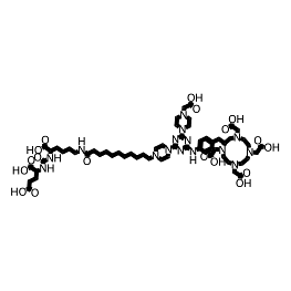 O=C(O)CCC(NC(=O)NC(CCCCNC(=O)CCCCCCCCCCN1CCN(c2nc(Nc3ccc(CC4CN(CC(=O)O)CCN(CC(=O)O)CCN(CC(=O)O)CCN4CC(=O)O)cc3)nc(N3CCN(CC(=O)O)CC3)n2)CC1)C(=O)O)C(=O)O